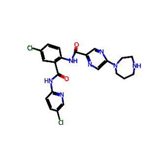 O=C(Nc1ccc(Cl)cc1C(=O)Nc1ccc(Cl)cn1)c1cnc(N2CCCNCC2)cn1